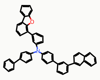 c1ccc(-c2ccc(N(c3ccc(-c4cccc(-c5ccc6ccccc6c5)c4)cc3)c3cccc(-c4cccc5c4oc4ccccc45)c3)cc2)cc1